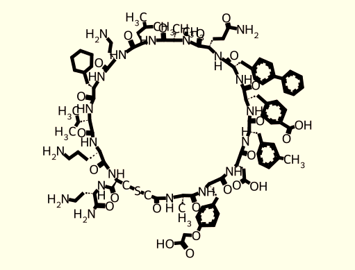 Cc1cccc(C[C@@H]2NC(=O)[C@H](CC(=O)O)NC(=O)[C@H](Cc3ccc(OCC(=O)O)cc3)NC(=O)[C@H](C)NC(=O)CSC[C@@H](C(=O)N[C@@H](CCN)C(N)=O)NC(=O)[C@H](CCCN)NC(=O)[C@H](C(C)C)NC(=O)[C@H](CC3CCCCC3)NC(=O)[C@H](CCN)NC(=O)[C@@H](CC(C)C)NC(=O)[C@H](C)N(C)C(=O)[C@H](CCC(N)=O)NC(=O)[C@H](Cc3ccc(-c4ccccc4)cc3)NC(=O)[C@H](Cc3ccc(C(=O)O)cc3)NC2=O)c1